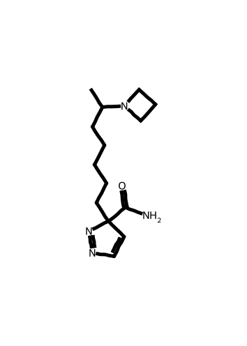 CC(CCCCCC1(C(N)=O)C=CN=N1)N1CCC1